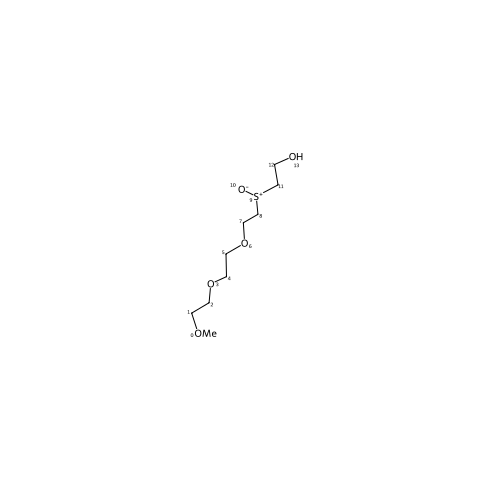 COCCOCCOCC[S+]([O-])CCO